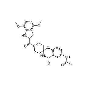 COc1ccc(OC)c2c1CC(C(=O)N1CCC3(CC1)NC(=O)c1cc(NC(C)=O)ccc1O3)N2